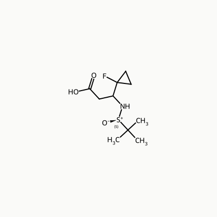 CC(C)(C)[S@@+]([O-])NC(CC(=O)O)C1(F)CC1